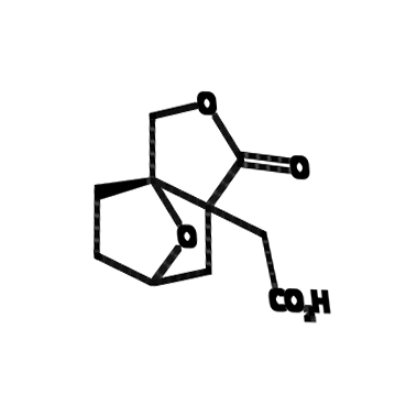 O=C(O)CC12CC3CC[C@]1(COC2=O)O3